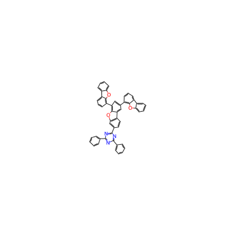 c1ccc(-c2nc(-c3ccccc3)nc(-c3ccc4c(c3)oc3c(-c5cccc6c5oc5ccccc56)cc(-c5cccc6c5oc5ccccc56)cc34)n2)cc1